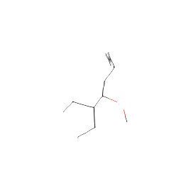 C=CCC(OC)C(CC)CC